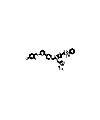 CCn1cncc1Cn1c(CN2CCC(c3cccc(OCc4ccc(Cl)cc4F)n3)CC2)nc2sc(C(=O)NS(=O)(=O)c3ccccc3)cc21